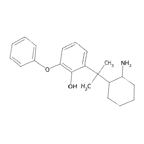 CC(C)(c1cccc(Oc2ccccc2)c1O)C1CCCCC1N